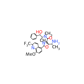 COc1ccc(-c2nc(C(=O)N(C)C(C)C(O)c3ccccc3)c(C(C)N)o2)c2ccc(C(F)(F)F)nc12